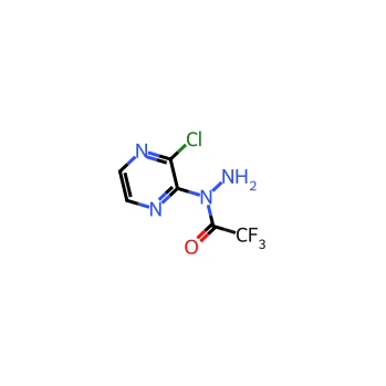 NN(C(=O)C(F)(F)F)c1nccnc1Cl